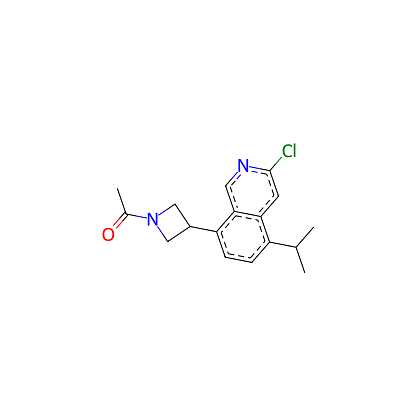 CC(=O)N1CC(c2ccc(C(C)C)c3cc(Cl)ncc23)C1